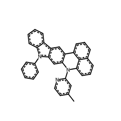 Cc1ccnc(N2c3cc4c(cc3-c3cccc5cccc2c35)c2ccccc2n4-c2ccccc2)c1